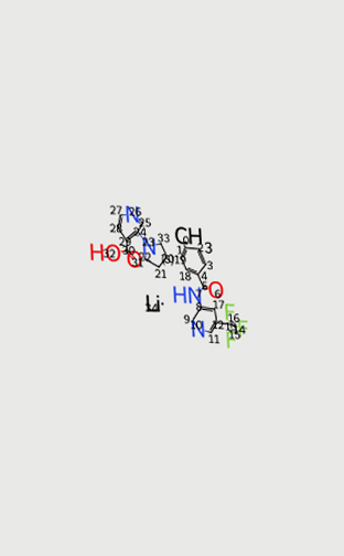 Cc1ccc(C(=O)Nc2cncc(C(F)(F)F)c2)cc1[C@@H]1CCN(c2cnccc2C(=O)O)C1.[Li]